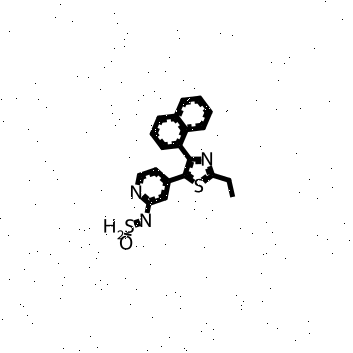 CCc1nc(-c2cccc3ccccc23)c(-c2ccnc(N=[SH2]=O)c2)s1